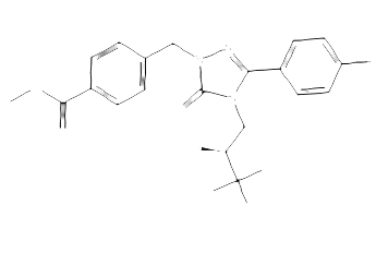 COC(=O)c1ccc(Cn2nc(-c3ccc(Cl)cc3)n(C[C@H](O)C(F)(F)F)c2=O)cc1